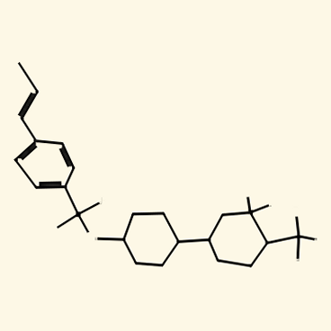 C/C=C/c1ccc(C(F)(F)OC2CCC(C3CCC(C(F)(F)F)C(F)(F)C3)CC2)cc1